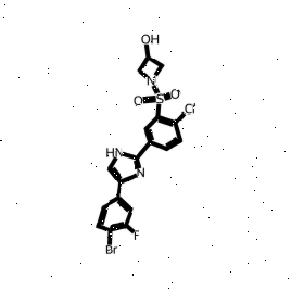 O=S(=O)(c1cc(-c2nc(-c3ccc(Br)c(F)c3)c[nH]2)ccc1Cl)N1CC(O)C1